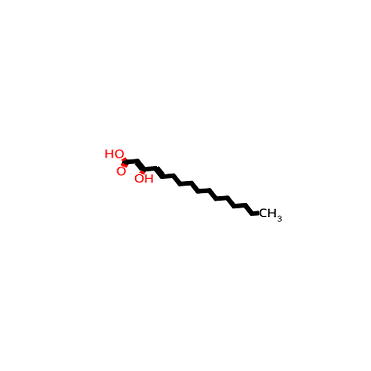 CCCCCCCCCCC/C=C/C(O)=C/C(=O)O